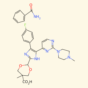 CN1CCN(c2nccc(-c3[nH]c(C4OCC(C)(C(=O)O)CO4)nc3-c3ccc(F)cc3)n2)CC1.NC(=O)c1ccccc1